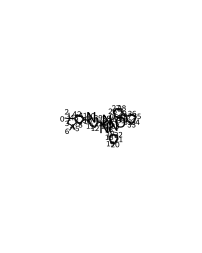 CC1(C)CC(C)(C)c2cc(-c3ccc(-c4nc(-c5ccccc5)nc(-c5cccc6c5oc5ccccc56)n4)cn3)ccc21